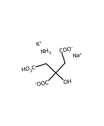 N.O=C([O-])CC(O)(CC(=O)O)C(=O)[O-].[K+].[Na+]